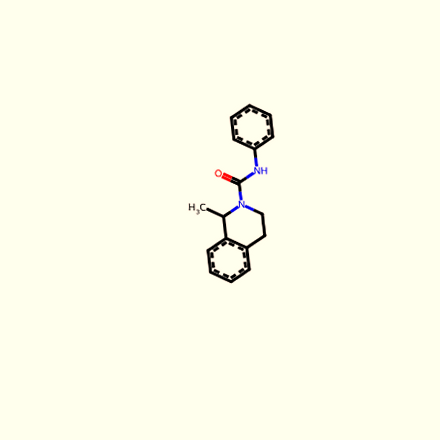 CC1c2ccccc2CCN1C(=O)Nc1ccccc1